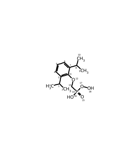 CC(C)c1cccc(C(C)C)c1OCP(=O)(O)OO